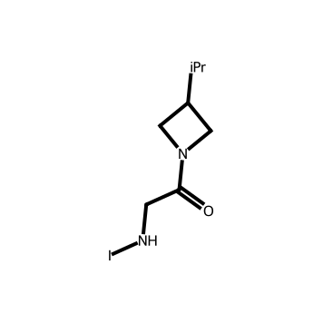 CC(C)C1CN(C(=O)CNI)C1